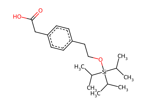 CC(C)[Si](OCCc1ccc(CC(=O)O)cc1)(C(C)C)C(C)C